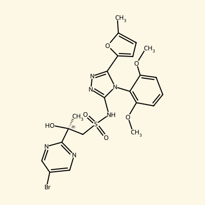 COc1cccc(OC)c1-n1c(NS(=O)(=O)C[C@](C)(O)c2ncc(Br)cn2)nnc1-c1ccc(C)o1